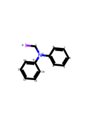 ICN(c1ccccc1)c1ccccc1